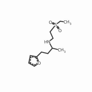 CCS(=O)(=O)CCNC(C)CCc1ccco1